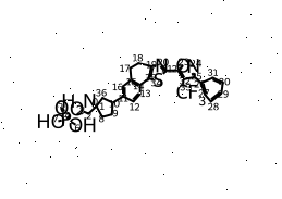 NC1(COP(=O)(O)O)CCC(c2ccc3c(c2)CCc2nc(-c4onc(-c5ccccc5)c4C(F)(F)F)sc2-3)C1